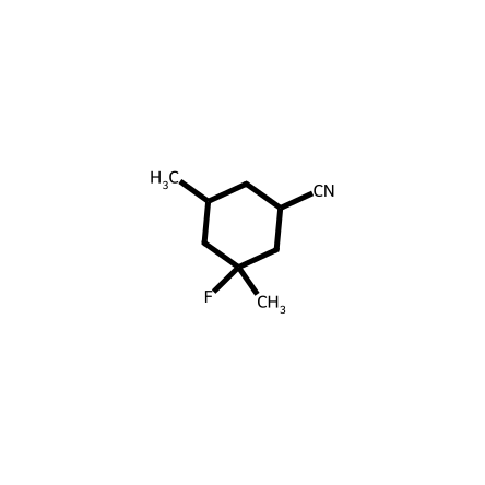 CC1CC(C#N)CC(C)(F)C1